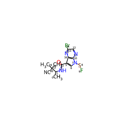 CC(NC(=O)c1cn(SF)c2ncc(Br)nc12)C(C)(C)C#N